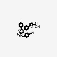 N#Cc1ccc(Cn2cncc2CN(C(=O)c2ccc(F)cc2)c2ccc(-c3ccc(C(=O)O)o3)cc2)cc1